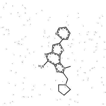 Cn1c(CN2CCCC2)nc2c(N)nc3cc(-c4ccccn4)sc3c21